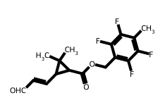 Cc1c(F)c(F)c(COC(=O)C2C(C=CC=O)C2(C)C)c(F)c1F